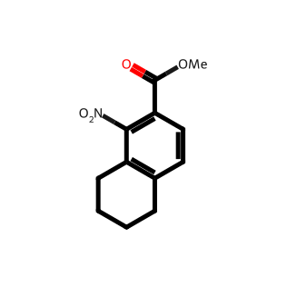 COC(=O)c1ccc2c(c1[N+](=O)[O-])CCCC2